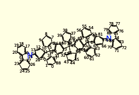 c1ccc(C(c2ccccc2)(c2ccc(-n3c4ccccc4c4ccccc43)cc2)c2ccc(C(c3ccccc3)(c3ccccc3)c3ccc(C(c4ccccc4)(c4ccccc4)c4ccc(-n5c6ccccc6c6ccccc65)cc4)cc3)cc2)cc1